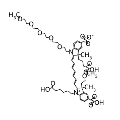 COCCOCCOCCOCCOCCN1/C(=C/C=C/C=C/C=C/C2=[N+](CCCCCC(=O)O)c3ccc(S(=O)(=O)O)cc3C2(C)CCOC)C(C)(CCCS(=O)(=O)O)c2cc(S(=O)(=O)[O-])ccc21